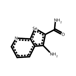 NC(=O)c1[se]c2ncccc2c1N